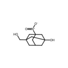 O=[N+]([O-])C12CC3CC(O)(CC(CO)(C3)C1)C2